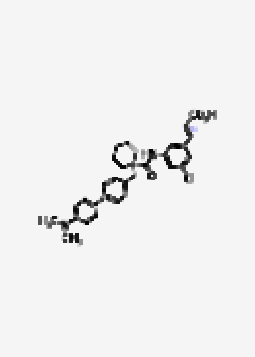 CN(C)c1ccc(-c2ccc(CC3(C(=O)Nc4cc(Cl)cc(/C=C/C(=O)O)c4)CCCCC3)cc2)cc1